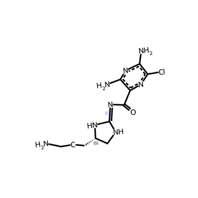 NCCC[C@H]1CN/C(=N\C(=O)c2nc(Cl)c(N)nc2N)N1